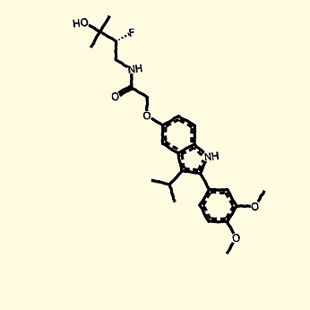 COc1ccc(-c2[nH]c3ccc(OCC(=O)NC[C@@H](F)C(C)(C)O)cc3c2C(C)C)cc1OC